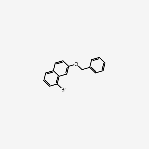 Brc1cccc2ccc(OCc3ccccc3)cc12